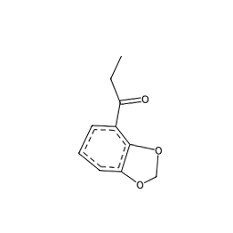 CCC(=O)c1cccc2c1OCO2